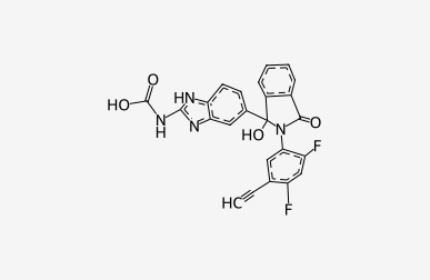 C#Cc1cc(N2C(=O)c3ccccc3C2(O)c2ccc3[nH]c(NC(=O)O)nc3c2)c(F)cc1F